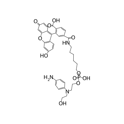 Nc1ccc(N(CCO)CCOP(=O)(O)OCCCCCCNC(=O)c2ccc(C(=O)O)c(-c3c4ccc(=O)cc-4oc4cc(O)ccc34)c2)cc1